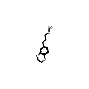 O=NOCCCc1ccc2c(c1)OCCO2